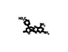 C=C1CC(Cc2cnc3nc(N)nc(N)c3n2)(c2ccc(C(=O)O)cc2)C(=O)O1